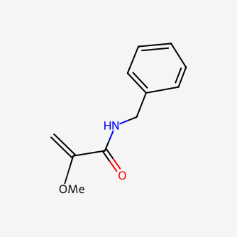 C=C(OC)C(=O)NCc1ccccc1